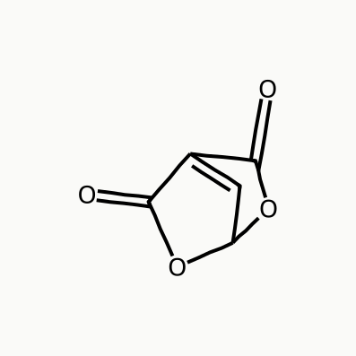 O=C1OC2C=C1C(=O)O2